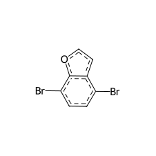 Brc1ccc(Br)c2occc12